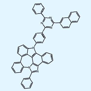 c1ccc(-c2nc(-c3ccc(-n4c5cccc6c7ccccc7n7c(-c8ccccc8)nc8c9ccccc9c4c(c65)c87)cc3)nc(-c3ccc4ccccc4c3)n2)cc1